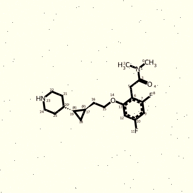 CN(C)C(=O)Cc1c(F)cc(F)cc1OCC[C@H]1C[C@@H]1C1CCNCC1